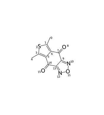 Cc1sc(C)c2c1C(=O)c1nonc1C2=O